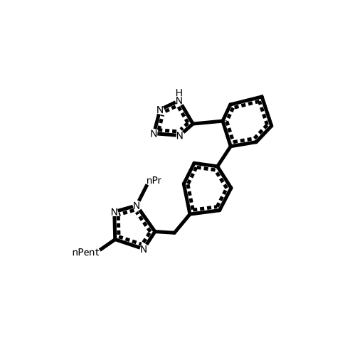 CCCCCc1nc(Cc2ccc(-c3ccccc3-c3nnn[nH]3)cc2)n(CCC)n1